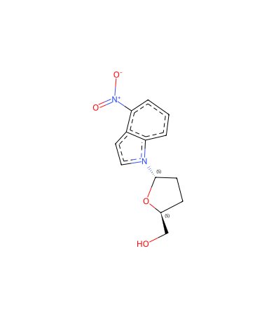 O=[N+]([O-])c1cccc2c1ccn2[C@@H]1CC[C@@H](CO)O1